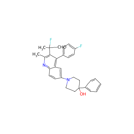 Cc1nc2ccc(N3CCC(O)(c4ccccc4)CC3)cc2c(-c2ccc(F)cc2)c1C(C)(F)C=O